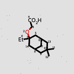 CCC1(OCC(=O)O)CC2CC(CC(C)(C)C2)C1